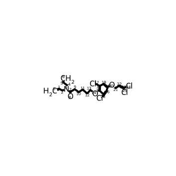 C=CCN(CC=C)C(=O)CCCCCOc1c(Cl)cc(OCC=C(Cl)Cl)cc1Cl